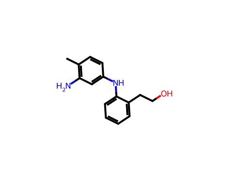 Cc1ccc(Nc2ccccc2CCO)cc1N